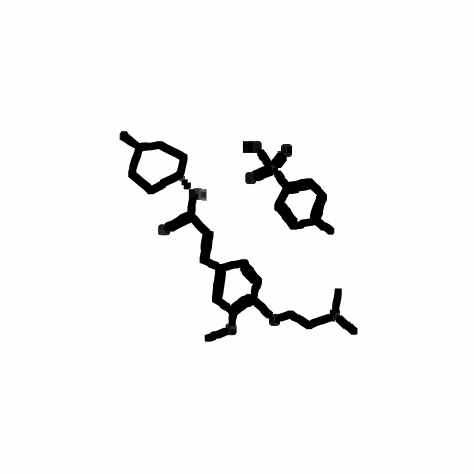 COc1cc(C=CC(=O)N[C@H]2CC[C@H](C)CC2)ccc1OCCN(C)C.Cc1ccc(S(=O)(=O)O)cc1